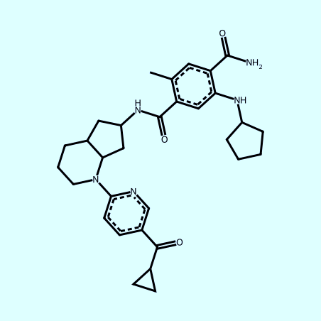 Cc1cc(C(N)=O)c(NC2CCCC2)cc1C(=O)NC1CC2CCCN(c3ccc(C(=O)C4CC4)cn3)C2C1